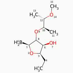 B[C@@H]1O[C@H](CC)[C@H](O)C1O[C@H](C)[C@H](C)OC